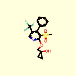 CS(=O)(=O)c1c(OCC2(O)CC2)ncc(C(F)(F)F)c1-c1ccccc1